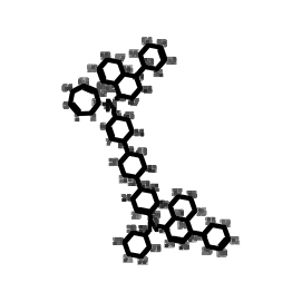 C1=CC[C@@H](N(C2C=CC(C3CCC(C4CC=C(N(C5CCCCC5)C5C=CC(C6CC=CCC6)C6CCCCC65)CC4)CC3)CC2)[C@@H]2CCC(C3CC=CCC3)C3CCC=CC32)C=CC1